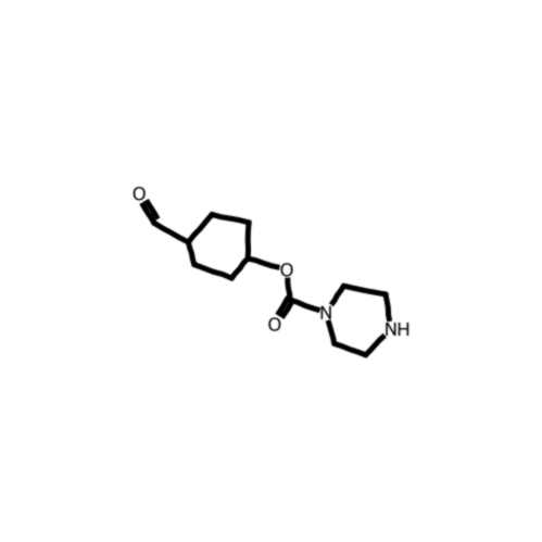 O=CC1CCC(OC(=O)N2CCNCC2)CC1